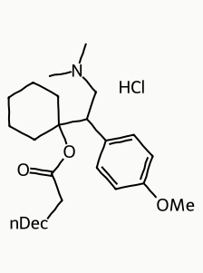 CCCCCCCCCCCC(=O)OC1(C(CN(C)C)c2ccc(OC)cc2)CCCCC1.Cl